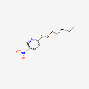 CCCCCSSc1ccc([N+](=O)[O-])cn1